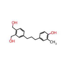 Cc1cc(CCCc2ccc(CO)c(CO)c2)ccc1O